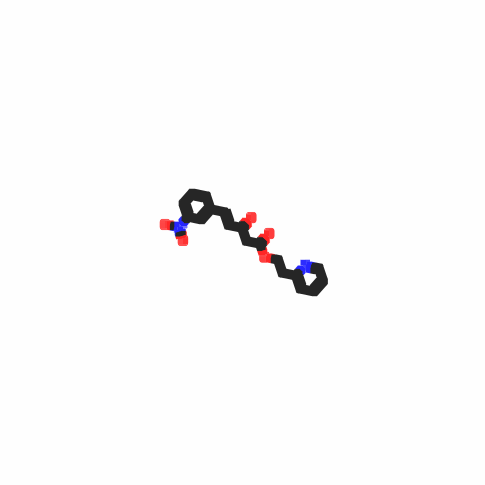 O=C(C=Cc1cccc([N+](=O)[O-])c1)CC(=O)OCCc1ccccn1